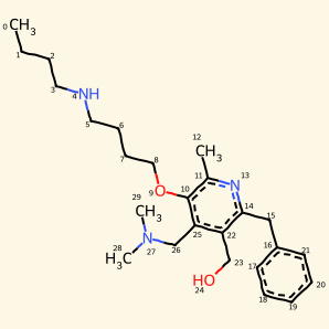 CCCCNCCCCOc1c(C)nc(Cc2ccccc2)c(CO)c1CN(C)C